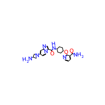 NC(=O)c1cccnc1O[C@H]1CC[C@H](NC(=O)c2cnc3cc(N4CC(N)C4)ccn23)CC1